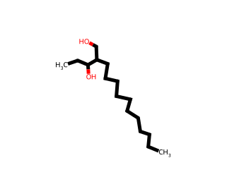 CCCCCCCCCCCC(CO)C(O)CC